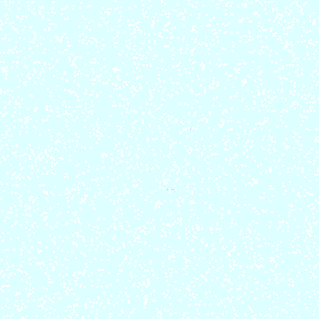 OCc1cc2c(cc1C1CCCCC1)OCC2